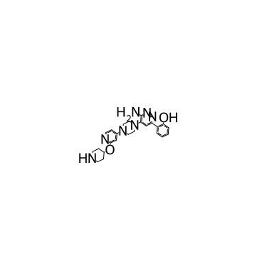 Nc1nnc(-c2ccccc2O)cc1N1CCN(c2ccnc(OC3CCNCC3)c2)CC1